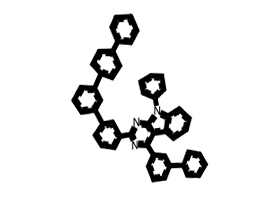 c1ccc(-c2ccc(-c3cccc(-c4cccc(-c5nc(-c6cccc(-c7ccccc7)c6)c6c7ccccc7n(-c7ccccc7)c6n5)c4)c3)cc2)cc1